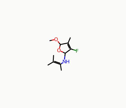 COC1OC(NC(C)=C(C)C)C(F)=C1C